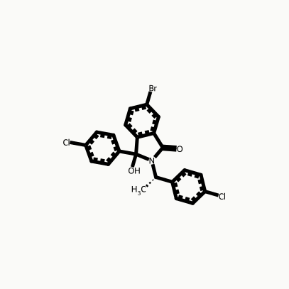 C[C@@H](c1ccc(Cl)cc1)N1C(=O)c2cc(Br)ccc2C1(O)c1ccc(Cl)cc1